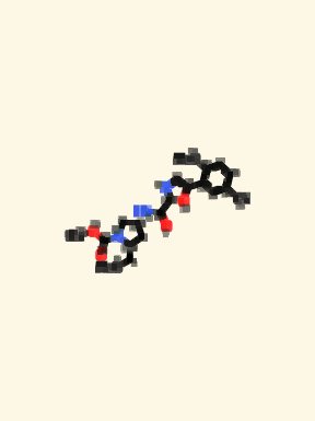 COC[C@@H]1C[C@@H](NC(=O)c2ncc(-c3cc(C#N)ccc3OC)o2)CN1C(=O)OC(C)(C)C